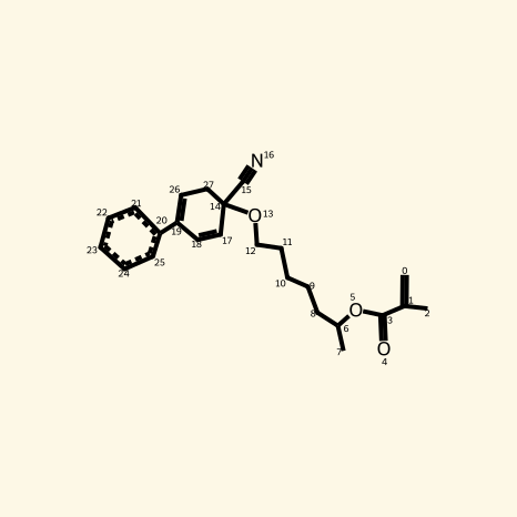 C=C(C)C(=O)OC(C)CCCCCOC1(C#N)C=CC(c2ccccc2)=CC1